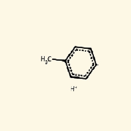 Cc1cc[c]cc1.[H+]